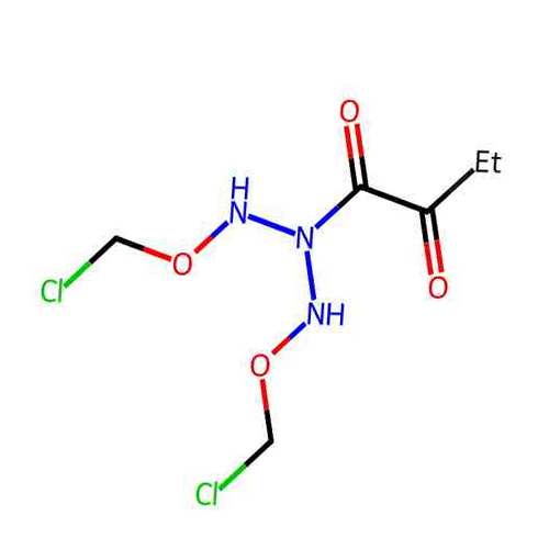 CCC(=O)C(=O)N(NOCCl)NOCCl